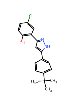 CC(C)(C)c1ccc(-c2cc(-c3cc(Cl)ccc3O)n[nH]2)cc1